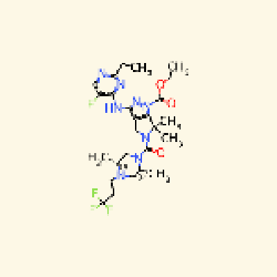 CCOC(=O)n1nc(Nc2nc(CC)ncc2F)c2c1C(C)(C)N(C(=O)N1C[C@@H](C)N(CCC(F)(F)F)C[C@@H]1C)C2